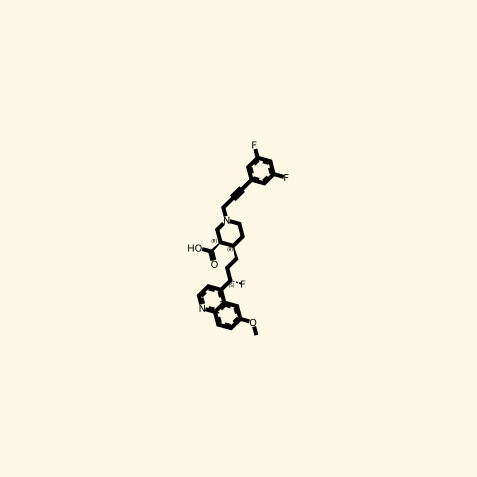 COc1ccc2nccc([C@@H](F)CC[C@@H]3CCN(CC#Cc4cc(F)cc(F)c4)C[C@@H]3C(=O)O)c2c1